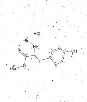 CC(C)(C)NC(Cc1ccc(O)cc1)C(=O)OC(C)(C)C.Cl